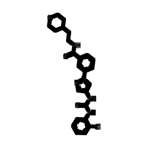 O=C(Nc1cnn(-c2cccc(C(=O)NCCC3CCOCC3)c2)c1)Nc1ccccc1Cl